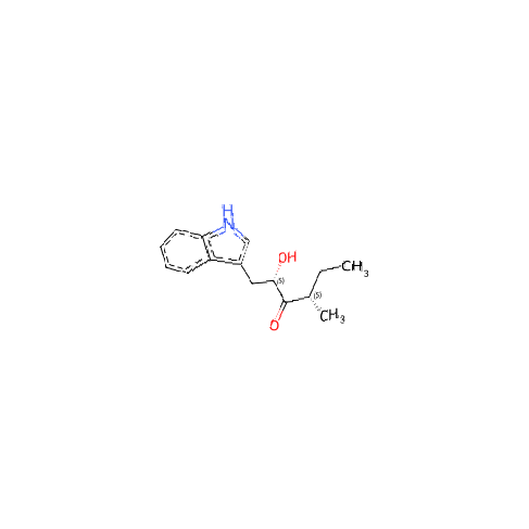 CC[C@H](C)C(=O)[C@@H](O)Cc1c[nH]c2ccccc12